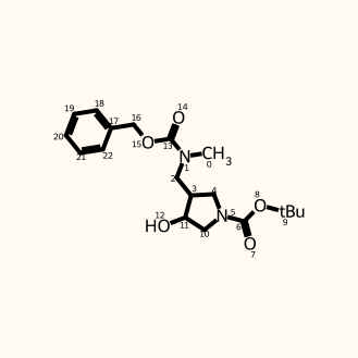 CN(CC1CN(C(=O)OC(C)(C)C)CC1O)C(=O)OCc1ccccc1